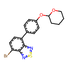 Brc1ccc(-c2ccc(OC3CCCCO3)cc2)c2nsnc12